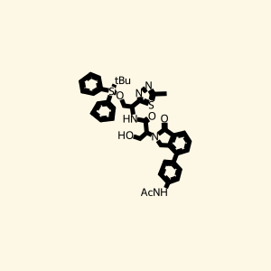 CC(=O)Nc1ccc(-c2cccc3c2CN(C(CO)C(=O)NC(CO[Si](c2ccccc2)(c2ccccc2)C(C)(C)C)c2nnc(C)s2)C3=O)cc1